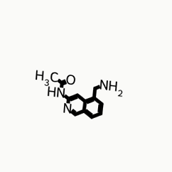 CC(=O)Nc1cc2c(CN)cccc2cn1